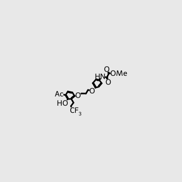 COC(=O)C(=O)Nc1ccc(OCCCOc2ccc(C(C)=O)c(O)c2CCC(F)(F)F)cc1